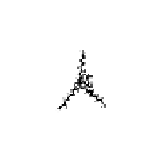 CCCCCCCCCOC(CCCCCCCCC)(CCCCCCCCC)C(O)CO